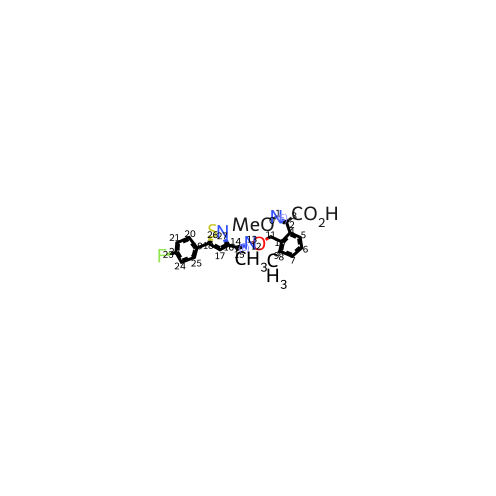 CO/N=C(/C(=O)O)c1cccc(C)c1CO/N=C(\C)c1cc(-c2ccc(F)cc2)sn1